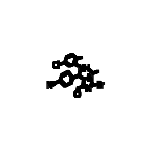 Cc1ccc(Cl)cc1NC(c1ccc(C#N)cc1)c1c(C=O)nc(Br)n1C(C)C